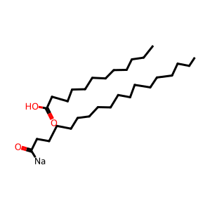 CCCCCCCCCCCC(=O)O.CCCCCCCCCCCCCCCCC[C](=O)[Na]